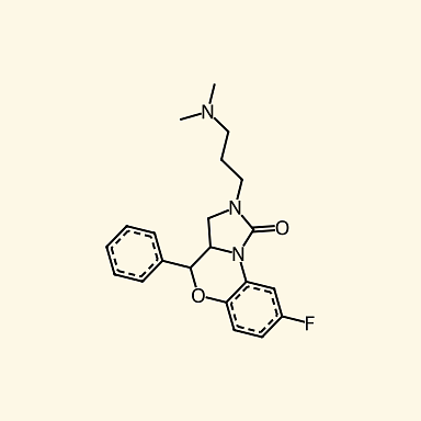 CN(C)CCCN1CC2C(c3ccccc3)Oc3ccc(F)cc3N2C1=O